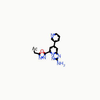 CC(=O)Cc1nnc(-c2cc(-c3cccnc3)cc3nc(N)nn23)o1